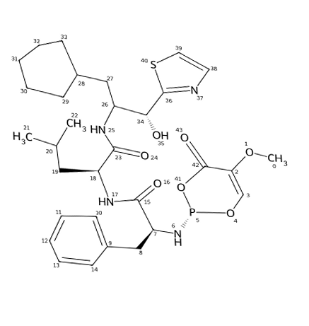 COC1=CO[P@](N[C@@H](Cc2ccccc2)C(=O)N[C@@H](CC(C)C)C(=O)NC(CC2CCCCC2)[C@@H](O)c2nccs2)OC1=O